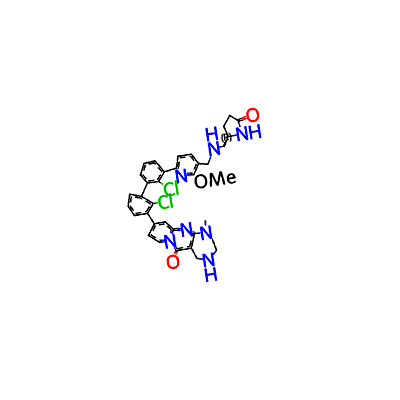 COc1nc(-c2cccc(-c3cccc(-c4ccn5c(=O)c6c(nc5c4)N(C)CCNC6)c3Cl)c2Cl)ccc1CNC[C@H]1CCC(=O)N1